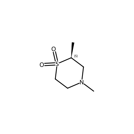 C[C@H]1CN(C)CCS1(=O)=O